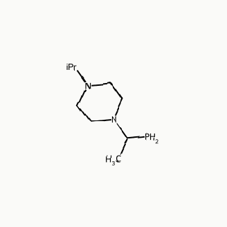 CC(C)N1CCN(C(C)P)CC1